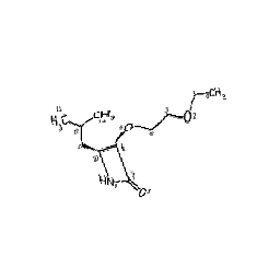 CCOCCO[C@H]1C(=O)N[C@H]1CC(C)C